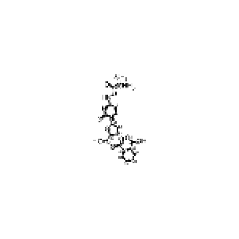 C[C@@H](N)C(=O)ONc1ccn([C@H]2C[C@H](OC(=O)c3ccccc3C(=O)O)[C@@H](CO)O2)c(=O)n1